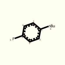 CCCCc1ccc(F)cc1